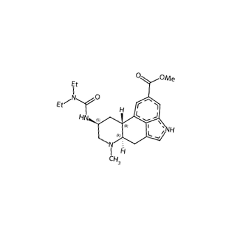 CCN(CC)C(=O)N[C@H]1C[C@@H]2c3cc(C(=O)OC)cc4[nH]cc(c34)C[C@H]2N(C)C1